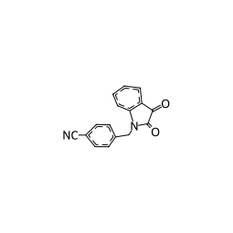 N#Cc1ccc(CN2C(=O)C(=O)c3ccccc32)cc1